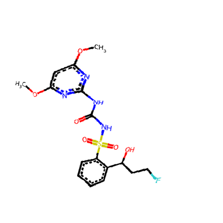 COc1cc(OC)nc(NC(=O)NS(=O)(=O)c2ccccc2C(O)CCF)n1